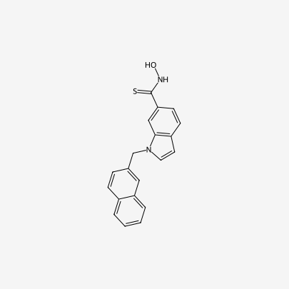 ONC(=S)c1ccc2ccn(Cc3ccc4ccccc4c3)c2c1